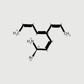 C\C=C/C=C(\C=C/C)/C=C\[C@H](N)C(C)=O